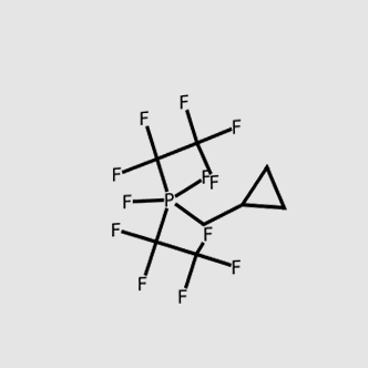 FC(F)(F)C(F)(F)P(F)(F)(CC1CC1)C(F)(F)C(F)(F)F